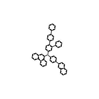 c1ccc(-c2ccc(-c3ccc(N(c4ccc(-c5ccc6ccccc6c5)cc4)c4cc5ccccc5c5ccccc45)cc3-c3ccccc3)cc2)cc1